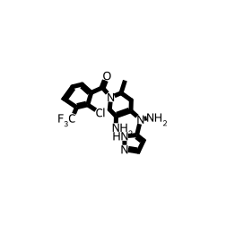 CC1CC(N(N)c2ccn[nH]2)=C(N)CN1C(=O)c1cccc(C(F)(F)F)c1Cl